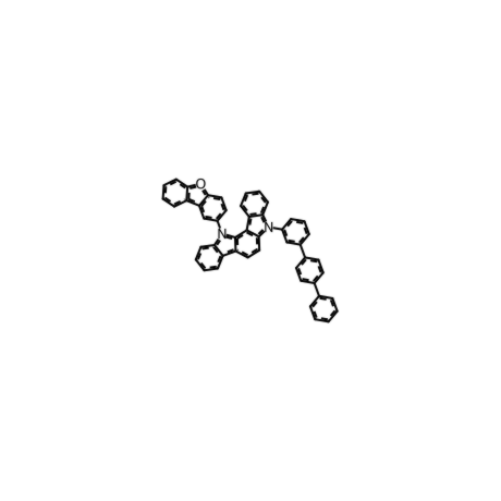 c1ccc(-c2ccc(-c3cccc(-n4c5ccccc5c5c4ccc4c6ccccc6n(-c6ccc7oc8ccccc8c7c6)c45)c3)cc2)cc1